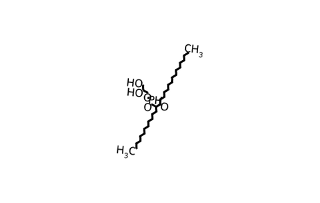 CCCCCCCCCCCCCCCC(=O)C(CCCCCCCCCCCC)C(=O)POCC(O)CO